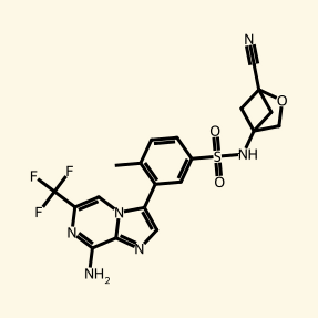 Cc1ccc(S(=O)(=O)NC23COC(C#N)(C2)C3)cc1-c1cnc2c(N)nc(C(F)(F)F)cn12